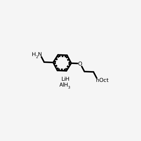 CCCCCCCCCCOc1ccc(CN)cc1.[AlH3].[LiH]